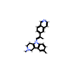 C/C(=C\n1c2c(c3cc(C)ccc31)CN(C)CC2)c1ccc2cnccc2c1